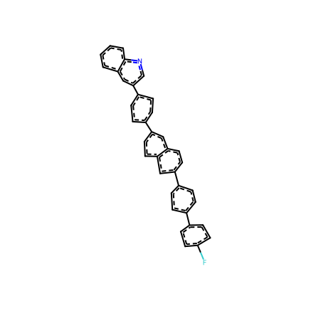 Fc1ccc(-c2ccc(-c3ccc4cc(-c5ccc(-c6cnc7ccccc7c6)cc5)ccc4c3)cc2)cc1